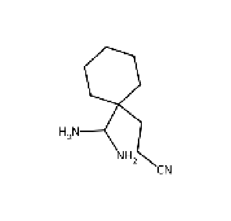 N#CCCC1(C(N)N)CCCCC1